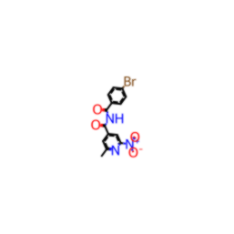 Cc1cc(C(=O)NC(=O)c2ccc(Br)cc2)cc([N+](=O)[O-])n1